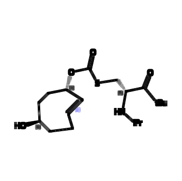 CC(C)N[C@H](CSC(=O)O[C@@H]1/C=C/CC[C@@H](O)CC1)C(=O)C(C)(C)C